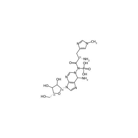 Cn1cnc(C[C@H](N)C(=O)N(N2C=Nc3c(ncn3[C@@H]3O[C@H](CO)C(O)C3O)C2N)P(=O)(O)O)c1